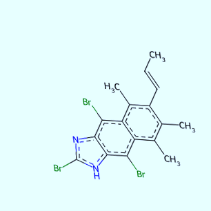 CC=Cc1c(C)c(C)c2c(Br)c3[nH]c(Br)nc3c(Br)c2c1C